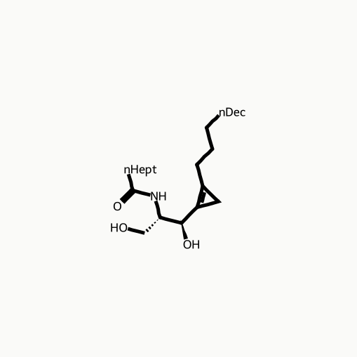 CCCCCCCCCCCCCC1=C([C@@H](O)[C@H](CO)NC(=O)CCCCCCC)C1